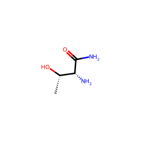 C[C@H](O)[C@@H](N)C(N)=O